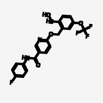 O=C(Nc1ccc(F)cc1)c1ccc(OCc2cc(OC(F)(F)F)ccc2BO)nc1